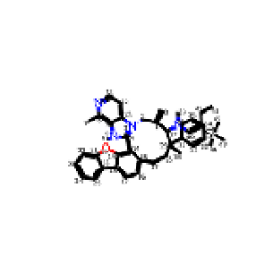 C=C1C[n+]2c(n(C)c3c(C)nccc32)-c2c(ccc3c2oc2ccccc23)CCC(C)(C2C=CC=CC2)C1N(C)/C=C(\CC)[Si](C)(C)C